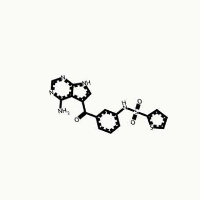 Nc1ncnc2[nH]cc(C(=O)c3cccc(NS(=O)(=O)c4cccs4)c3)c12